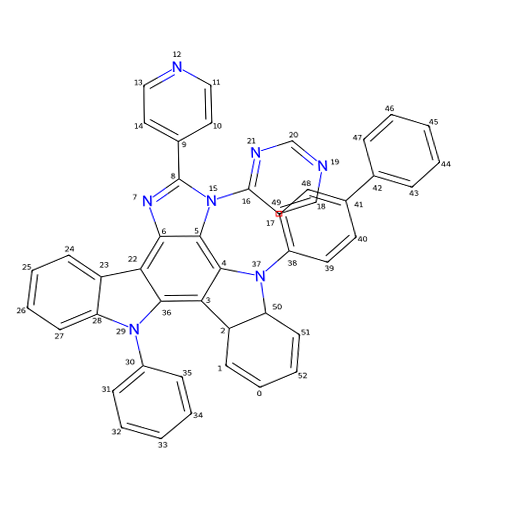 C1=CC2c3c(c4c(nc(-c5ccncc5)n4-c4ccncn4)c4c5ccccc5n(-c5ccccc5)c34)N(c3ccc(-c4ccccc4)cc3)C2C=C1